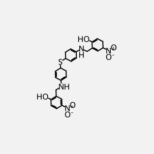 O=[N+]([O-])c1ccc(O)c(CNC2=CCC(SC3C=CC(NCC4=CC([N+](=O)[O-])CC=C4O)=CC3)C=C2)c1